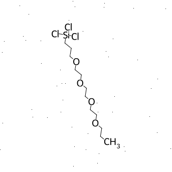 CCCOCCOCCOCCOCCC[Si](Cl)(Cl)Cl